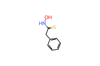 ONC(=S)Cc1ccccc1